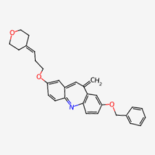 C=C1C=c2cc(OCCC=C3CCOCC3)ccc2=Nc2ccc(OCc3ccccc3)cc21